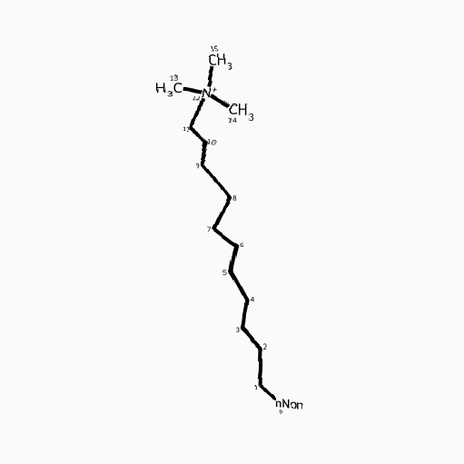 CCCCCCCCCCCCCCCCCCCC[N+](C)(C)C